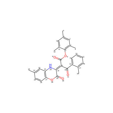 Cc1cc(C)c(OC(=O)C(C(=O)c2ccccc2C)=C2Nc3cc(C)ccc3OC2=O)c(C)c1